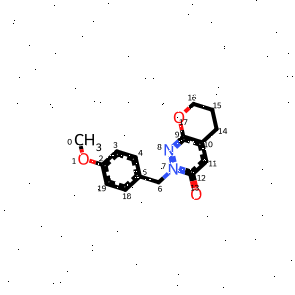 COc1ccc(Cn2nc3c(cc2=O)CCCO3)cc1